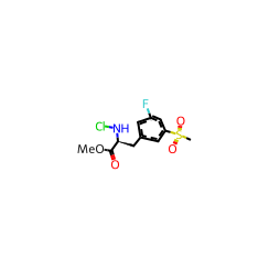 COC(=O)[C@H](Cc1cc(F)cc(S(C)(=O)=O)c1)NCl